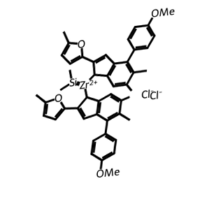 COc1ccc(-c2c(C)c(C)cc3c2C=C(c2ccc(C)o2)[CH]3[Zr+2]([CH]2C(c3ccc(C)o3)=Cc3c2cc(C)c(C)c3-c2ccc(OC)cc2)=[Si](C)C)cc1.[Cl-].[Cl-]